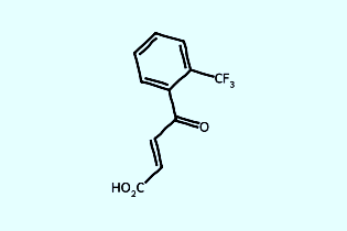 O=C(O)/C=C/C(=O)c1ccccc1C(F)(F)F